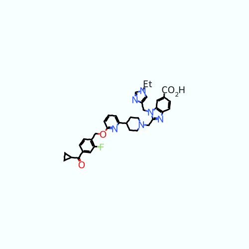 CCn1cnc(Cn2c(CN3CCC(c4cccc(OCc5ccc(C(=O)C6CC6)cc5F)n4)CC3)nc3ccc(C(=O)O)cc32)c1